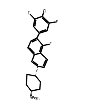 CCCCC[C@H]1CC[C@H](c2ccc3c(F)c(-c4cc(F)c(Cl)c(F)c4)ccc3c2)CC1